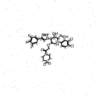 O=C(CO[C@H]1C[SH](c2ccc(Cl)c(Cl)c2)[C@H](CO)[C@H](O)[C@@H]1n1cc(-c2cc(F)c(F)c(F)c2)nn1)N1CCS(=O)(=O)CC1